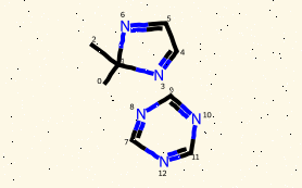 CC1(C)N=CC=N1.c1ncncn1